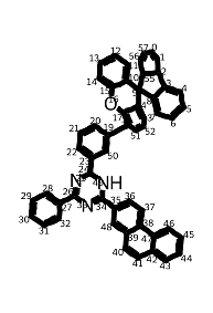 C1=CC2c3ccccc3C3(c4ccccc4Oc4c(-c5cccc(C6N=C(c7ccccc7)N=C(c7ccc8c(ccc9ccccc98)c7)N6)c5)cccc43)C2C=C1